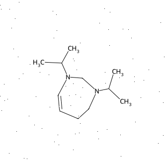 CC(C)N1C=CCCN(C(C)C)C1